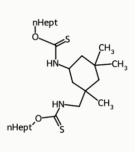 CCCCCCCOC(=S)NCC1(C)CC(NC(=S)OCCCCCCC)CC(C)(C)C1